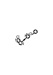 Clc1cc2c(C#Cc3ccc(OCc4ccccc4)nn3)nccc2cn1